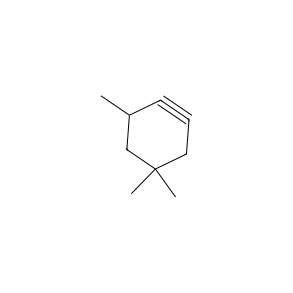 CC1C#CCC(C)(C)C1